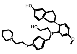 COC1=CC(N(CCO)Cc2ccc(OCCN3CCCCC3)cc2)C([C@@H]2CCc3cc(O)ccc3C2)C=C1